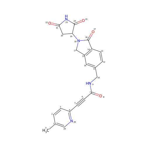 Cc1ccc(C#CC(=O)NCc2ccc3c(c2)CN(C2CC(=O)NC2=O)C3=O)nc1